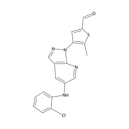 Cc1sc(C=O)cc1-n1ncc2cc(Nc3ccccc3Cl)cnc21